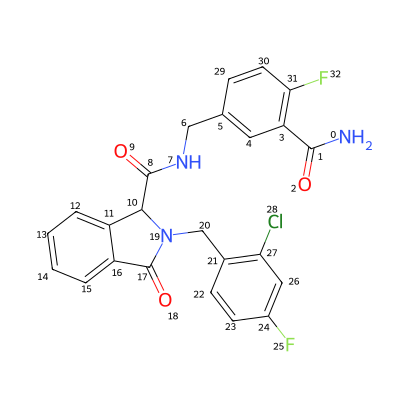 NC(=O)c1cc(CNC(=O)C2c3ccccc3C(=O)N2Cc2ccc(F)cc2Cl)ccc1F